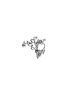 CC[C@@H]1O[C@H](C)CCC=C[C@@H]2C[C@@]2(C(=O)NS(=O)(=O)C2(C)CC2)NC(=O)[C@@H]2C[C@@H](Oc3cc(-c4ccc(C(F)(F)F)cc4)nc(-c4nccs4)c3)CN2C(=O)[C@H]1NC(=O)O